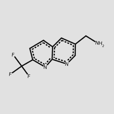 NCc1cnc2nc(C(F)(F)F)ccc2c1